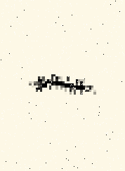 FC(CC(F)(F)C(F)(F)C(F)(F)C(F)(F)C(F)(F)C(F)(F)C(F)(F)C(F)(F)F)[Si](Cl)(Cl)Cl